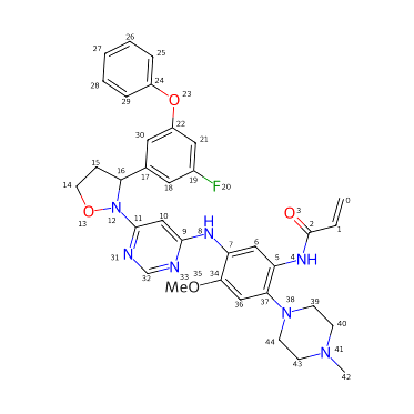 C=CC(=O)Nc1cc(Nc2cc(N3OCCC3c3cc(F)cc(Oc4ccccc4)c3)ncn2)c(OC)cc1N1CCN(C)CC1